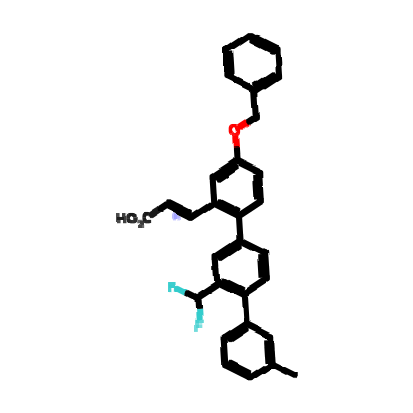 Cc1cccc(-c2ccc(-c3ccc(OCc4ccccc4)cc3/C=C/C(=O)O)cc2C(F)F)c1